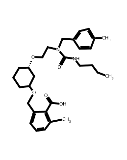 CCCCNC(=O)N(CCO[C@H]1CCCC(OCc2cccc(C)c2C(=O)O)C1)Cc1ccc(C)cc1